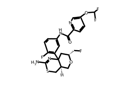 NC1=NC2(c3cc(NC(=O)c4ccc(OC(F)F)cn4)ccc3F)C[C@H](CF)OC[C@H]2CS1